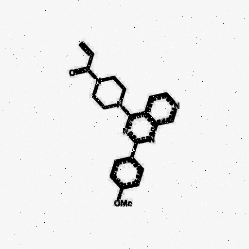 C=CC(=O)N1CCN(c2nc(-c3ccc(OC)cc3)nc3cnccc23)CC1